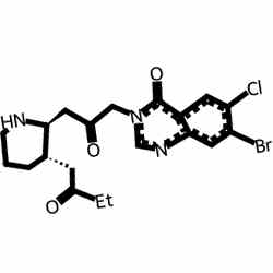 CCC(=O)C[C@@H]1CCCN[C@H]1CC(=O)Cn1cnc2cc(Br)c(Cl)cc2c1=O